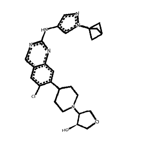 O[C@@H]1COCC1N1CCC(c2cc3nc(Nc4cnn(C56CC(C5)C6)c4)ncc3cc2Cl)CC1